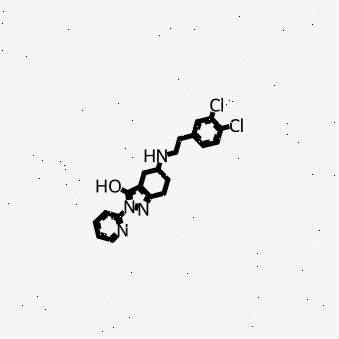 Oc1c2c(nn1-c1ccccn1)CCC(NCCc1ccc(Cl)c(Cl)c1)C2